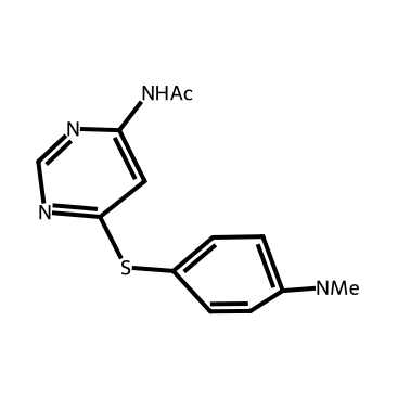 CNc1ccc(Sc2cc(NC(C)=O)ncn2)cc1